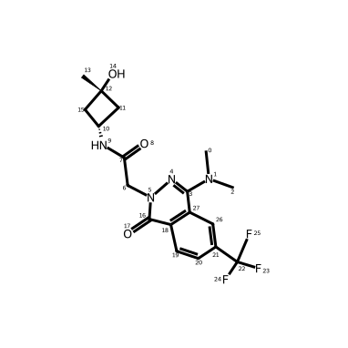 CN(C)c1nn(CC(=O)N[C@H]2C[C@@](C)(O)C2)c(=O)c2ccc(C(F)(F)F)cc12